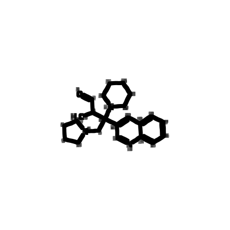 CC(C=O)C(CN1CCCC1)(c1cnc2ccccc2c1)N1CCCCC1